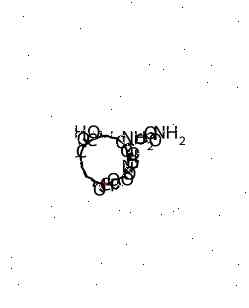 CO[C@H]1C[C@@H]2CCCC(O2)C(=O)C(=O)N2CCCC[C@H]2C(=O)O[C@H]([C@H](N)C[C@H]2CC[C@H](OC(N)=O)CC2)CC[C@H](C)/C=C(\C)[C@@H](O)CC(=O)[C@H](C)C[C@H](C)/C=C/C=C/C=C/1C